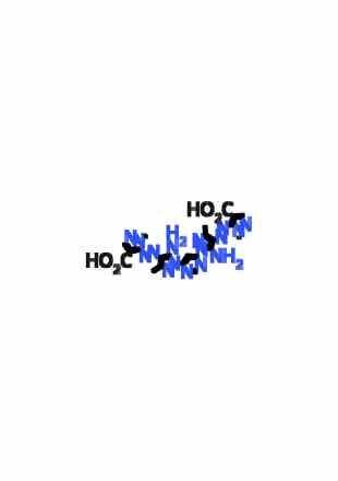 Cc1nn(-c2cc(-n3nc(C)c(/N=N/c4c(C(=O)O)cnn4C)c3N)ncn2)c(N)c1/N=N/c1c(C(=O)O)cnn1C